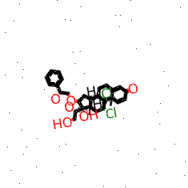 C[C@]12C=CC(=O)C=C1CC[C@H]1[C@@H]3CC(OCC(=O)c4ccccc4)[C@](O)(C(=O)CO)[C@@]3(C)CC(Cl)[C@@]12Cl